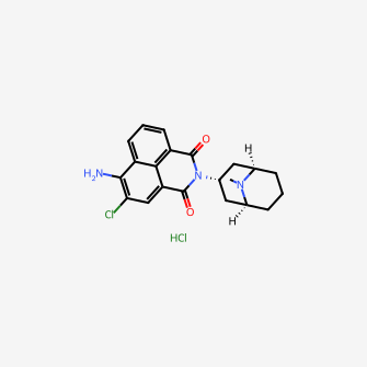 CN1[C@@H]2CCC[C@H]1C[C@H](N1C(=O)c3cccc4c(N)c(Cl)cc(c34)C1=O)C2.Cl